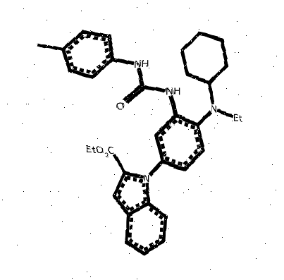 CCOC(=O)c1cc2ccccc2n1-c1ccc(N(CC)C2CCCCC2)c(NC(=O)Nc2ccc(C)cc2)c1